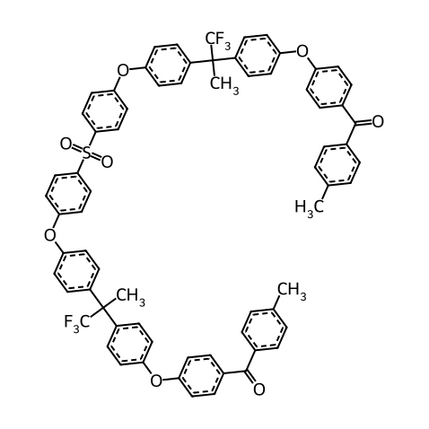 Cc1ccc(C(=O)c2ccc(Oc3ccc(C(C)(c4ccc(Oc5ccc(S(=O)(=O)c6ccc(Oc7ccc(C(C)(c8ccc(Oc9ccc(C(=O)c%10ccc(C)cc%10)cc9)cc8)C(F)(F)F)cc7)cc6)cc5)cc4)C(F)(F)F)cc3)cc2)cc1